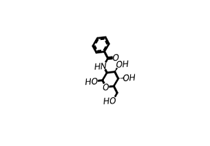 O=C(NC1C(O)OC(CO)[C@@H](O)[C@@H]1O)c1ccccc1